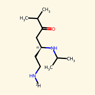 [2H]NCC[C@@H](CC(=O)C(C)C)NC(C)C